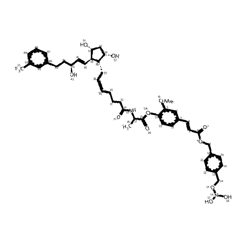 COc1cc(/C=C/C(=O)OCc2ccc(CON(O)O)cc2)ccc1OC(=O)C(C)NC(=O)CCC/C=C\C[C@@H]1[C@@H](/C=C/[C@@H](O)CCc2cccc(C(F)(F)F)c2)[C@H](O)C[C@@H]1O